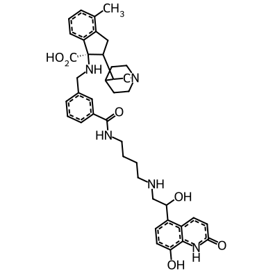 Cc1cccc2c1CC(C1CN3CCC1CC3)[C@]2(NCc1cccc(C(=O)NCCCCNCC(O)c2ccc(O)c3[nH]c(=O)ccc23)c1)C(=O)O